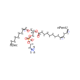 CCCCC/C=C\C/C=C\CCCCCCCC(=O)O[C@H](CO/C=C\CCCCCCCCCCCCCCCC)COP(=O)([O-])OCC[N+](C)(C)C